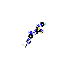 CN1CCN(c2ccc(Nc3ncc(-c4cncs4)c(-c4cnc(N5CC[C@H](F)C5)s4)n3)cc2)CC1